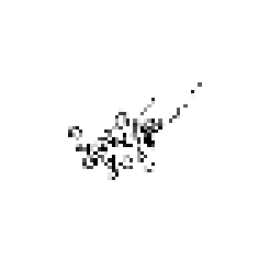 CCCCCCCCCCCC(=O)N1CCN(C(=O)c2ccc(C(=O)N3C[C@@H](C(=O)N[C@H]4C[C@@H]4c4ccccc4)[C@H](C(=O)N[C@H]4C[C@@H]4c4ccccc4)C3)cc2)CC1C(=O)NCCCCCC